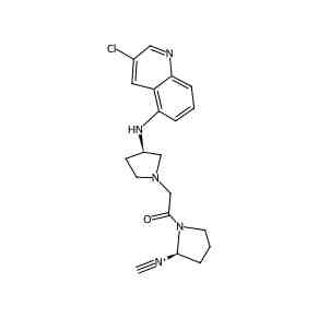 C#[N+][C@@H]1CCCN1C(=O)CN1CC[C@@H](Nc2cccc3ncc(Cl)cc23)C1